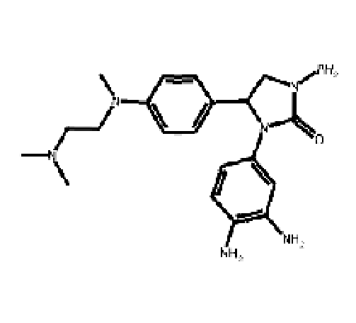 CN(C)CCN(C)c1ccc(C2CN(P)C(=O)N2c2ccc(N)c(N)c2)cc1